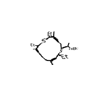 CCCC/C(C)=C1/CC=C(C)C(CC)SC(CC)C(C)=CCCC(C)=CC(CC)S1